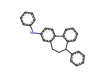 c1ccc(Nc2ccc3c(c2)CCC(c2ccccc2)c2ccccc2-3)cc1